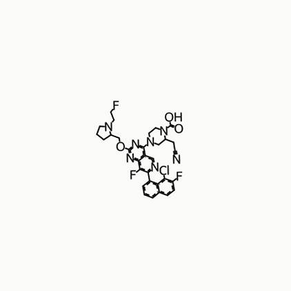 N#CCC1CN(c2nc(OCC3CCCN3CCF)nc3c(F)c(-c4cccc5ccc(F)c(Cl)c45)ncc23)CCN1C(=O)O